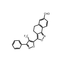 O=Cc1ccc2c(c1)CCc1c-2noc1-c1onc(-c2ccccc2)c1C(F)(F)F